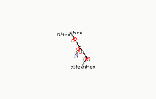 CCCCCCC(CCCCCC)CCCCOC(=O)CCCCCCCC(CCCCCCCC(=O)OCCCCC(CCCCCC)CCCCCC)OC(=O)CCCN(C)C